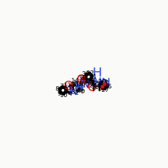 C[C@H]1CN(Cc2ccccc2)C(=O)[C@H](C)N1c1nc2c(C(=O)N[C@@H]3CN4CCC3CC4)cccc2o1